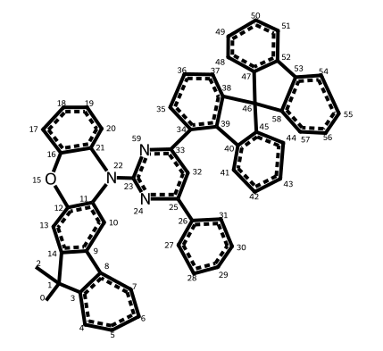 CC1(C)c2ccccc2-c2cc3c(cc21)Oc1ccccc1N3c1nc(-c2ccccc2)cc(-c2cccc3c2-c2ccccc2C32c3ccccc3-c3ccccc32)n1